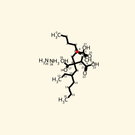 CCCCC(CC)CC(CC(CC)CCCC)(C(=O)O)C(C(=O)O)S(=O)(=O)O.N.N